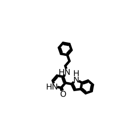 O=c1[nH]ccc(NCCc2ccccc2)c1-c1cc2ccccc2[nH]1